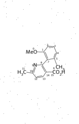 COc1cccc(C)c1-c1nc(C)ccc1C(=O)O